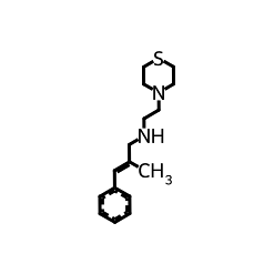 C/C(=C\c1ccccc1)CNCCN1CCSCC1